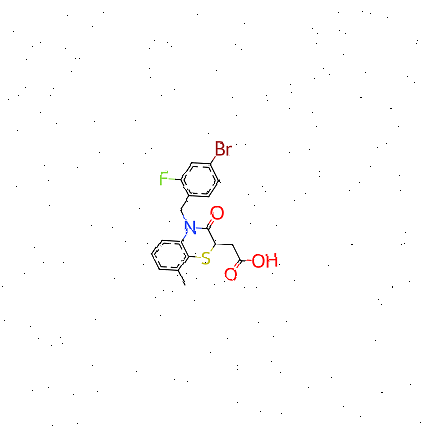 Cc1cccc2c1SC(CC(=O)O)C(=O)N2Cc1ccc(Br)cc1F